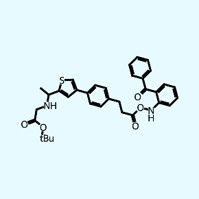 CC(NCC(=O)OC(C)(C)C)c1cc(-c2ccc(CCC(=O)ONc3ccccc3C(=O)c3ccccc3)cc2)cs1